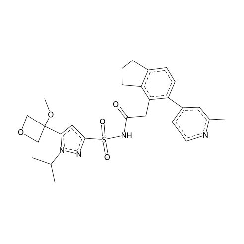 COC1(c2cc(S(=O)(=O)NC(=O)Cc3c(-c4ccnc(C)c4)ccc4c3CCC4)nn2C(C)C)COC1